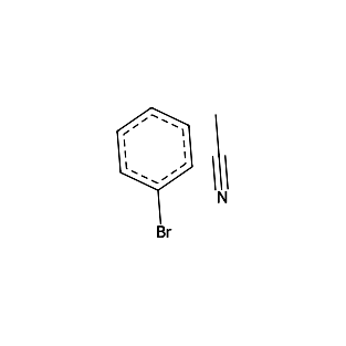 Brc1ccccc1.CC#N